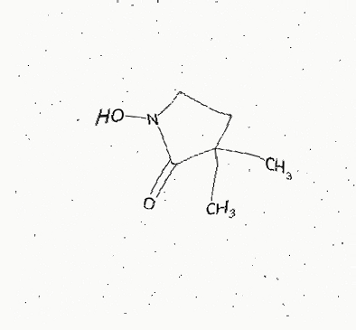 CC1(C)CCN(O)C1=O